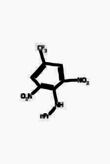 CCCNc1c([N+](=O)[O-])cc(C(F)(F)F)cc1[N+](=O)[O-]